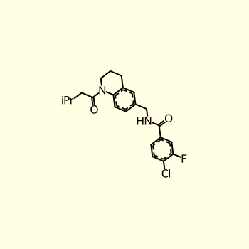 CC(C)CC(=O)N1CCCc2cc(CNC(=O)c3ccc(Cl)c(F)c3)ccc21